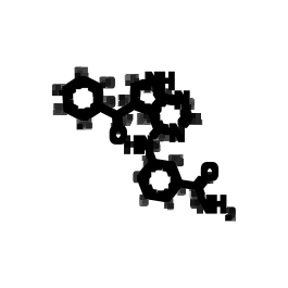 NC(=O)c1cccc(Nc2ncnc3[nH]cc(C(=O)c4ccccc4)c23)c1